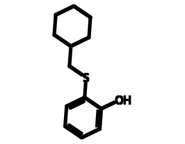 Oc1ccccc1SCC1CCCCC1